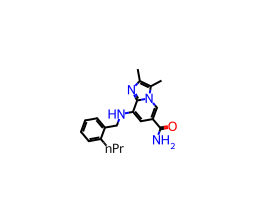 CCCc1ccccc1CNc1cc(C(N)=O)cn2c(C)c(C)nc12